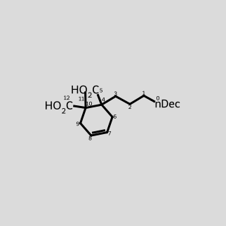 CCCCCCCCCCCCCC1(C(=O)O)CC=CCC1(C)C(=O)O